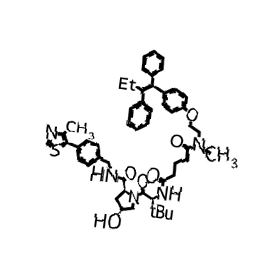 CC/C(=C(\c1ccccc1)c1ccc(OCCN(C)C(=O)CCCC(=O)N[C@H](C(=O)N2C[C@H](O)C[C@H]2C(=O)NCc2ccc(-c3scnc3C)cc2)C(C)(C)C)cc1)c1ccccc1